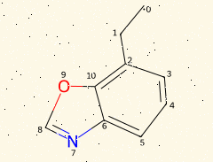 [CH2]Cc1cccc2ncoc12